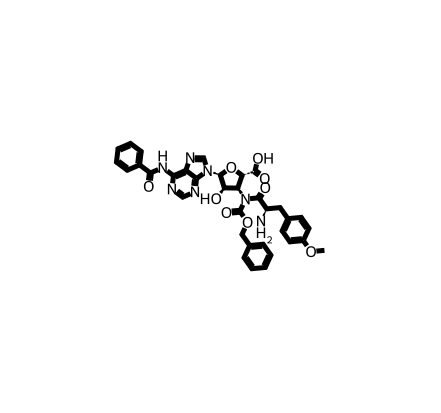 COc1ccc(C[C@H](N)C(=O)N(C(=O)OCc2ccccc2)[C@H]2[C@@H](O)[C@H](n3cnc4c(NC(=O)c5ccccc5)ncnc43)O[C@@H]2C(=O)O)cc1